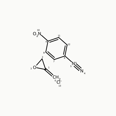 C=C1CO1.N#[N+]c1ccc([N+](=O)[O-])cc1.[Cl-]